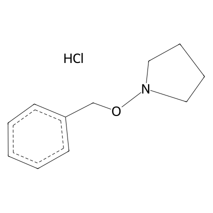 Cl.c1ccc(CON2CCCC2)cc1